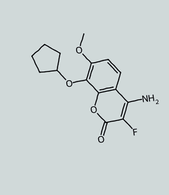 COc1ccc2c(N)c(F)c(=O)oc2c1OC1CCCC1